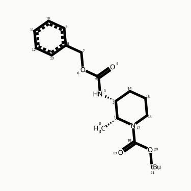 C[C@@H]1[C@H](NC(=O)OCc2ccccc2)CCCN1C(=O)OC(C)(C)C